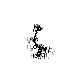 CCN(CC)C(=O)c1cc2c(C)c(O)c(O)cc2cc1C(=O)N(CC)CCCCN(C)C(=O)CCCCC(=O)c1ccccc1OC